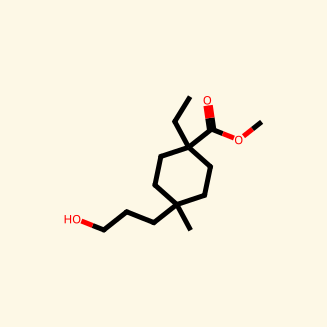 CCC1(C(=O)OC)CCC(C)(CCCO)CC1